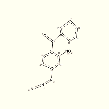 [N-]=[N+]=Nc1ccc(C(=O)c2ccccc2)c([N+](=O)[O-])c1